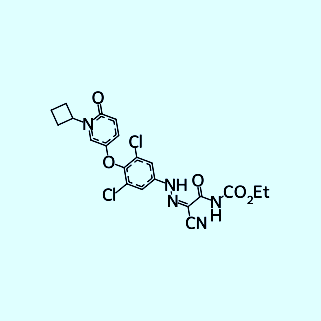 CCOC(=O)NC(=O)C(C#N)=NNc1cc(Cl)c(Oc2ccc(=O)n(C3CCC3)c2)c(Cl)c1